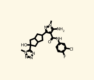 Cn1nnnc1C1(O)CC2CC(c3nn(C)c(N)c3C(=O)Nc3ccc(F)c(Cl)c3)CC2C1